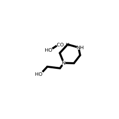 O=C(O)O.OCCN1CCNCC1